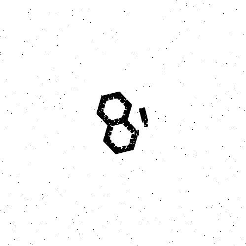 C=S.c1ccc2ncccc2c1